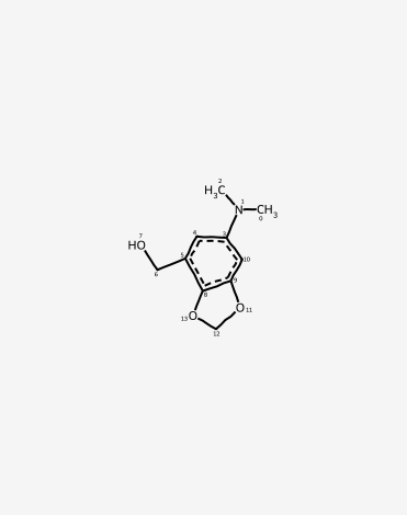 CN(C)c1cc(CO)c2c(c1)OCO2